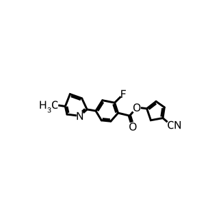 Cc1ccc(-c2ccc(C(=O)OC3=CC=C(C#N)C3)c(F)c2)nc1